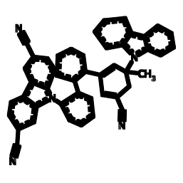 CC1(n2c3ccccc3c3ccccc32)C=C(c2ccccc2-c2ccccc2-n2c3ccc(C#N)cc3c3ccc(C#N)cc32)C=C(C#N)C1